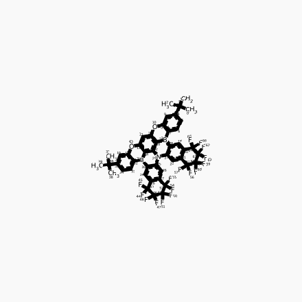 CC(C)(C)c1ccc2c(c1)Oc1cc3c4c5c1B2c1cc2c(cc1N5c1cc5c(cc1B4c1ccc(C(C)(C)C)cc1O3)C(F)(F)C(F)(F)C(F)(F)C5(F)F)C(F)(F)C(F)(F)C(F)(F)C2(F)F